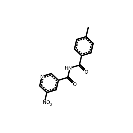 Cc1ccc(C(=O)NC(=O)c2cncc([N+](=O)[O-])c2)cc1